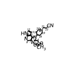 CS(=O)(=O)Cc1nc2cnc3[nH]ccc3c2n1C1CCN(CCC#N)CC1